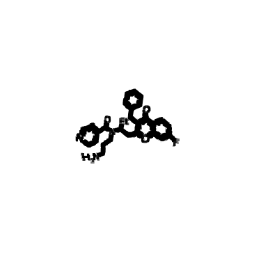 CCC(Cc1oc2cc(F)ccc2c(=O)c1Cc1ccccc1)N(CCCN)C(=O)c1ccncc1